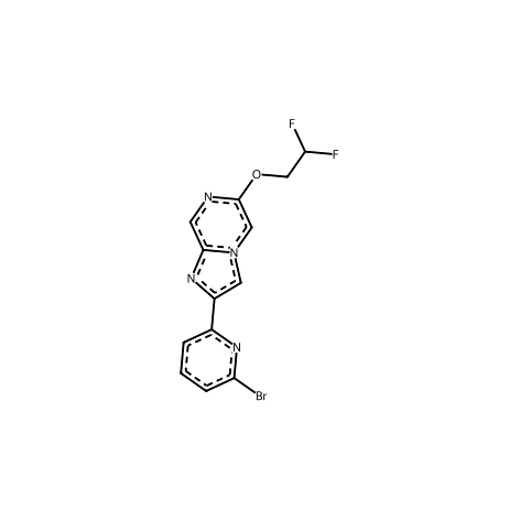 FC(F)COc1cn2cc(-c3cccc(Br)n3)nc2cn1